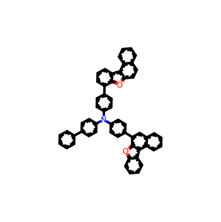 c1ccc(-c2ccc(N(c3ccc(-c4cccc5c4oc4ccc6ccccc6c45)cc3)c3ccc(-c4cc5ccccc5c5c4oc4ccccc45)cc3)cc2)cc1